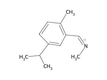 C/N=C\c1cc(C(C)C)ccc1C